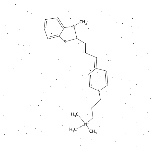 CN1c2ccccc2SC1C=CC=C1C=CN(CCC[N+](C)(C)C)C=C1